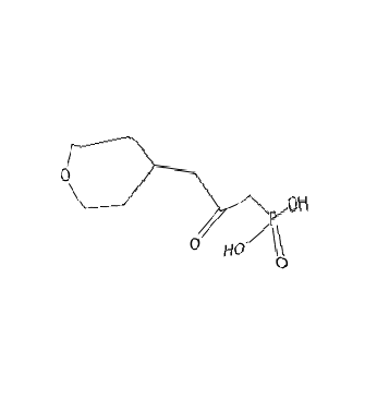 O=C(CC1CCOCC1)CP(=O)(O)O